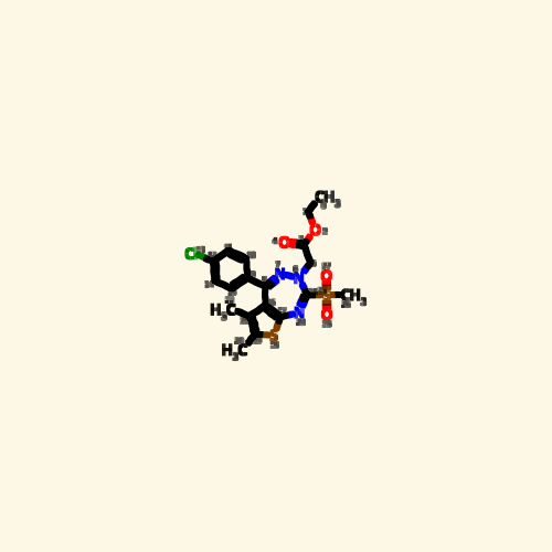 CCOC(=O)CN1N=C(c2ccc(Cl)cc2)c2c(sc(C)c2C)N=C1S(C)(=O)=O